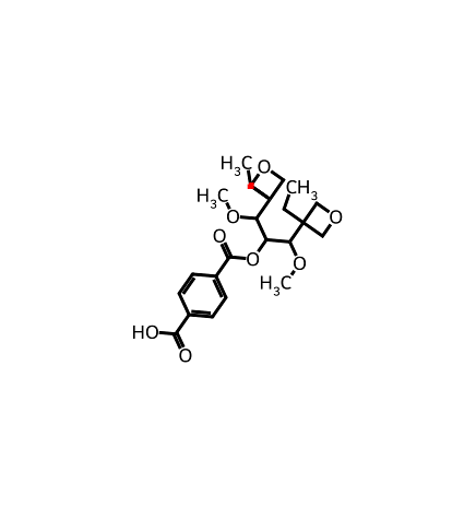 CCC1(C(OC)C(OC(=O)c2ccc(C(=O)O)cc2)C(OC)C2(CC)COC2)COC1